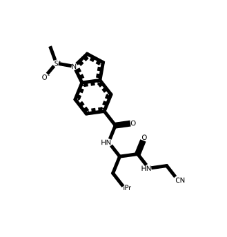 CC(C)CC(NC(=O)c1ccc2c(ccn2[S+](C)[O-])c1)C(=O)NCC#N